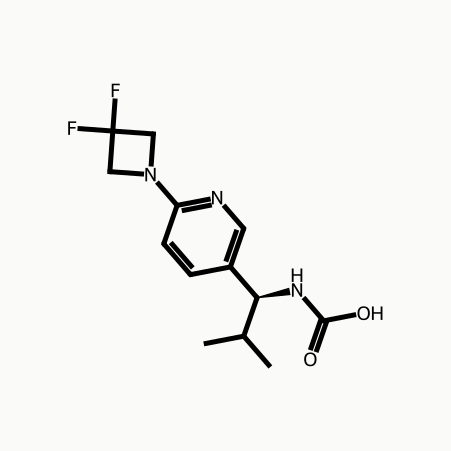 CC(C)[C@H](NC(=O)O)c1ccc(N2CC(F)(F)C2)nc1